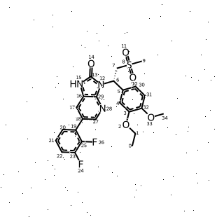 CCOc1cc([C@@H](CS(C)(=O)=O)n2c(=O)[nH]c3cc(-c4cccc(F)c4F)cnc32)ccc1OC